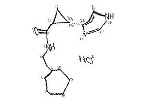 Cl.O=C(NCC1CCCCC1)C1C[C@@H]1c1c[nH]cn1